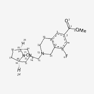 COC(=O)c1cc(F)c2c(c1)CCN(CC1C[C@H]3CC[C@@H](C1)N3C)C2